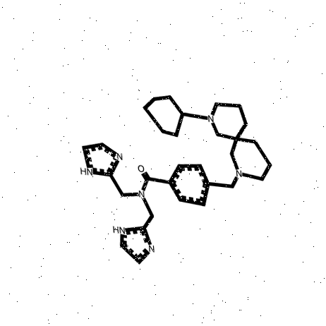 O=C(c1ccc(CN2CCCC3(CCCN(C4CCCCC4)C3)C2)cc1)N(Cc1ncc[nH]1)Cc1ncc[nH]1